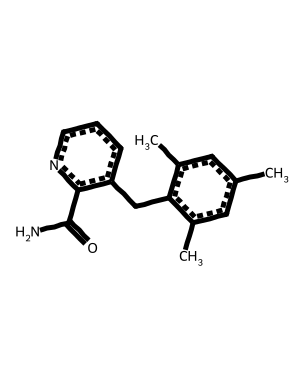 Cc1cc(C)c(Cc2cccnc2C(N)=O)c(C)c1